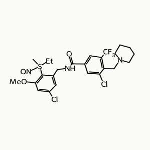 CCS(C)(N=O)c1c(CNC(=O)c2cc(Cl)c(CN3CCCCC3)c(C(F)(F)F)c2)cc(Cl)cc1OC